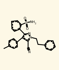 Cc1ccc(-c2c(-c3ccccc3S(N)(=O)=O)nn(CCc3ccccc3)c2C#N)cc1